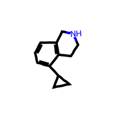 c1cc2c(c(C3CC3)c1)CCNC2